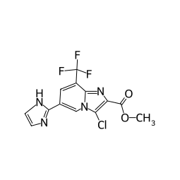 COC(=O)c1nc2c(C(F)(F)F)cc(-c3ncc[nH]3)cn2c1Cl